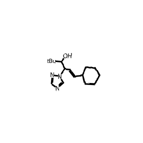 CC(C)(C)C(O)C(C=CC1CCCCC1)n1cncn1